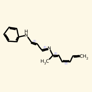 C=C\C=C/C=C(C)/N=C/C=C/Nc1ccccc1